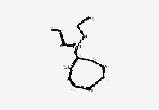 CCCN(CCC)C1CCCCCCC1